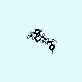 O=C1Nc2ccc(Cl)c(F)c2[C@@]2(CCCN(C(=O)c3nc(C(O)c4ccc(F)cc4)n[nH]3)C2)O1